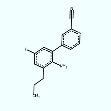 CCCc1cc(F)cc(-c2ccnc(C#N)c2)c1N